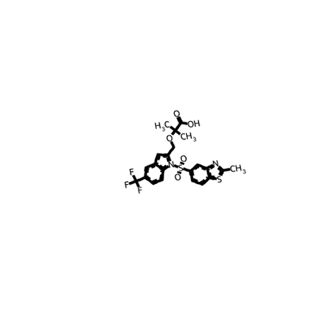 Cc1nc2cc(S(=O)(=O)n3c(COC(C)(C)C(=O)O)cc4cc(C(F)(F)F)ccc43)ccc2s1